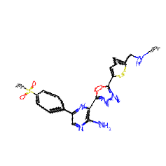 CC(C)NCc1ccc(-c2nnc(-c3nc(-c4ccc(S(=O)(=O)C(C)C)cc4)cnc3N)o2)s1